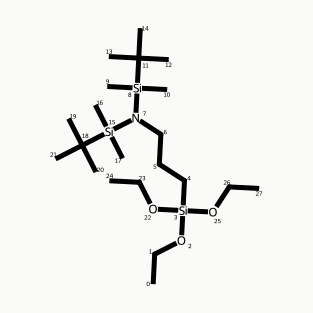 CCO[Si](CCCN([Si](C)(C)C(C)(C)C)[Si](C)(C)C(C)(C)C)(OCC)OCC